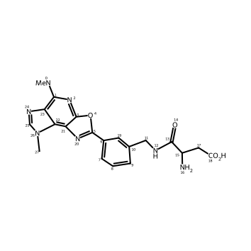 CNc1nc2oc(-c3cccc(CNC(=O)C(N)CC(=O)O)c3)nc2c2c1ncn2C